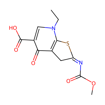 CCn1cc(C(=O)O)c(=O)c2c1SC(=NC(=O)OC)C2